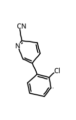 N#Cc1ccc(-c2ccc[c]c2Cl)cn1